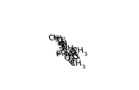 COc1cccc(OC)c1C(=O)N[C@@H]1CC(F)C[C@H]1Nc1nc2ccc(Cl)cc2s1